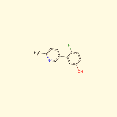 Cc1ccc(-c2cc(O)ccc2F)cn1